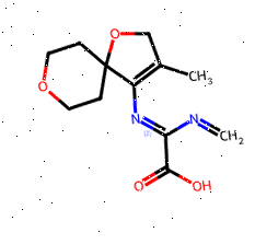 C=N/C(=N\C1=C(C)COC12CCOCC2)C(=O)O